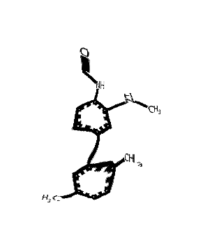 CNc1cc(-c2cc(C)ccc2C)ccc1NC=O